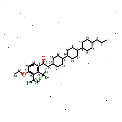 CCCC1CCC(C2CCC(C3CCC(CC(=O)c4ccc(OCC)c(C(F)F)c4C(F)(F)F)CC3)CC2)CC1